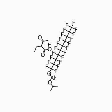 CC(C)[O][Al][O]C(F)(F)C(F)(F)C(F)(F)C(F)(F)C(F)(F)C(F)(F)C(F)(F)C(F)(F)C(F)(F)C(F)(F)F.CCC(C(C)=O)C(=O)O